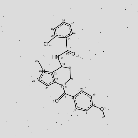 COc1ccc(C(=O)N2CCC(NC(=O)c3ccccc3Cl)c3c2cnn3C)cc1